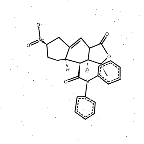 C[C@H]1OC(=O)C2C=C3C[C@H]([N+](=O)[O-])CC[C@@H]3[C@H](C(=O)N(c3ccccc3)c3ccccc3)[C@@H]21